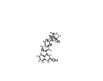 C[C@]12CC[C@H](CN(c3ncc4cnc(-c5cc(O)cc6ccccc56)cc4n3)C1)N2